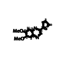 COc1cc2ncc(-c3cccs3)nc2cc1OC